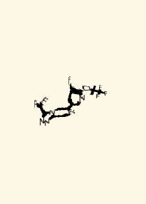 CC(C)(Oc1ncc(-c2cn3c(C(F)F)nnc3cn2)cc1F)C(F)(F)F